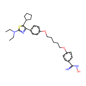 CCN(CC)c1nc(-c2ccc(OCCCCCOc3ccc(C(=N)NO)cc3)cc2)c(C2CCCC2)s1